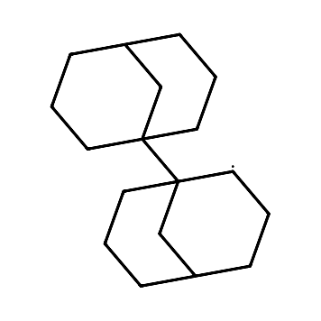 [CH]1CCC2CCCC1(C13CCCC(CCC1)C3)C2